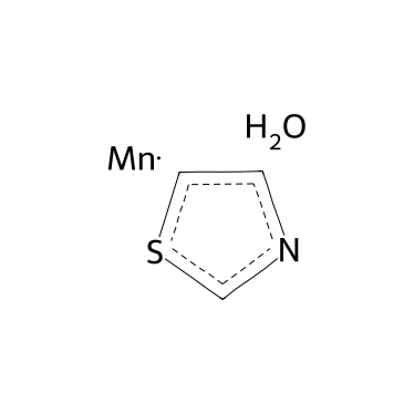 O.[Mn].c1cscn1